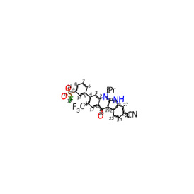 CC(C)n1c2cc(-c3cccc(S(=O)(=O)F)c3)c(C(F)(F)F)cc2c(=O)c2c3ccc(C#N)cc3[nH]c21